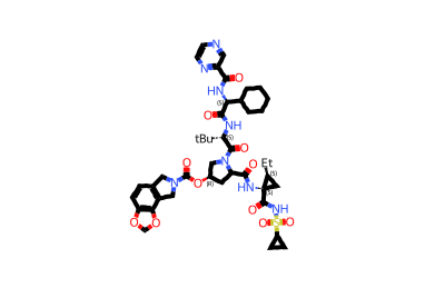 CC[C@H]1C[C@@]1(NC(=O)C1C[C@@H](OC(=O)N2Cc3ccc4c(c3C2)OCO4)CN1C(=O)[C@@H](NC(=O)[C@@H](NC(=O)c1cnccn1)C1CCCCC1)C(C)(C)C)C(=O)NS(=O)(=O)C1CC1